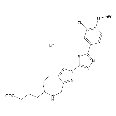 CC(C)Oc1ccc(-c2nnc(-n3cc4c(n3)CNC(CCCC(=O)[O-])CC4)s2)cc1Cl.[Li+]